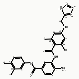 C=C(Nc1cc(C(=O)Nc2ccc(C)c(C)c2)ccc1N)c1c(C)cc(OCc2nnn[nH]2)cc1C